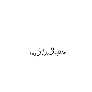 CC(=O)OOC(=O)COCC(O)CO